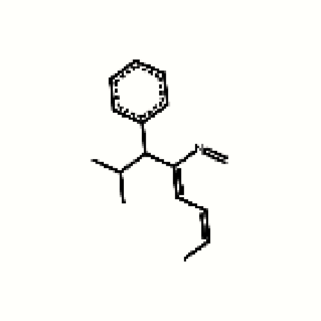 C=N/C(=C\C=C/C)C(c1ccccc1)C(C)C